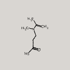 C=C(C)N(C)CCC(=O)O